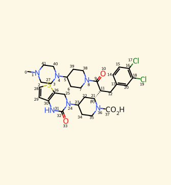 CN1CCN(C2CCN(C(=O)C(Cc3ccc(Cl)c(Cl)c3)[C@H]3CC(N4Cc5sccc5NC4=O)CCN3C(=O)O)CC2)CC1